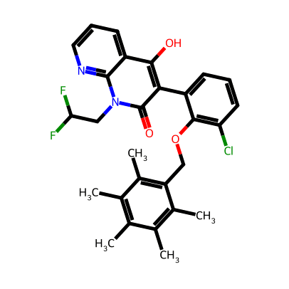 Cc1c(C)c(C)c(COc2c(Cl)cccc2-c2c(O)c3cccnc3n(CC(F)F)c2=O)c(C)c1C